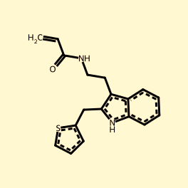 C=CC(=O)NCCc1c(Cc2cccs2)[nH]c2ccccc12